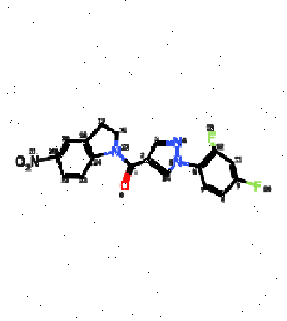 O=C(c1cnn(-c2ccc(F)cc2F)c1)N1CCc2cc([N+](=O)[O-])ccc21